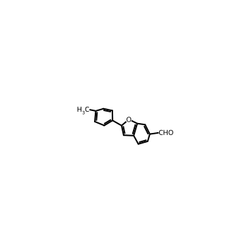 Cc1ccc(-c2cc3ccc(C=O)cc3o2)cc1